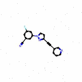 N#Cc1cc(F)cc(-n2ccc(C#Cc3cccnc3)n2)c1